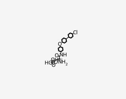 C[C@](N)(COP(=O)(O)O)C(=O)Nc1ccc(Oc2ccc(-c3ccc(Cl)cc3)cc2)cc1